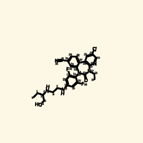 CCC(CO)NCCNc1cc(F)c(N2C(=O)N(CC)c3ncc(Cl)cc3-c3ccc(C#N)cc32)c(F)c1